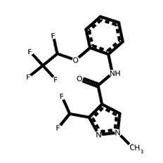 Cn1cc(C(=O)Nc2ccccc2OC(F)C(F)(F)F)c(C(F)F)n1